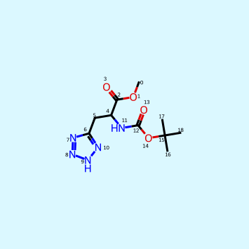 COC(=O)C(Cc1nn[nH]n1)NC(=O)OC(C)(C)C